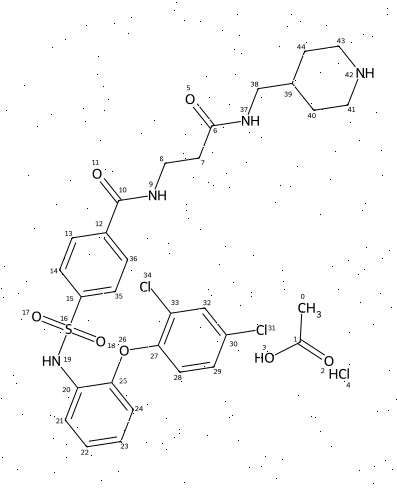 CC(=O)O.Cl.O=C(CCNC(=O)c1ccc(S(=O)(=O)Nc2ccccc2Oc2ccc(Cl)cc2Cl)cc1)NCC1CCNCC1